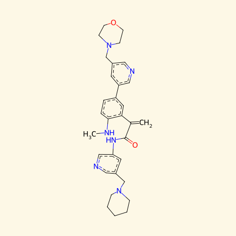 C=C(C(=O)Nc1cncc(CN2CCCCC2)c1)c1cc(-c2cncc(CN3CCOCC3)c2)ccc1NC